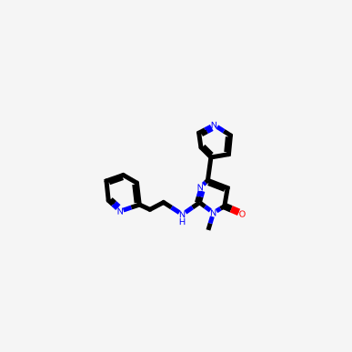 Cn1c(NCCc2ccccn2)nc(-c2ccncc2)cc1=O